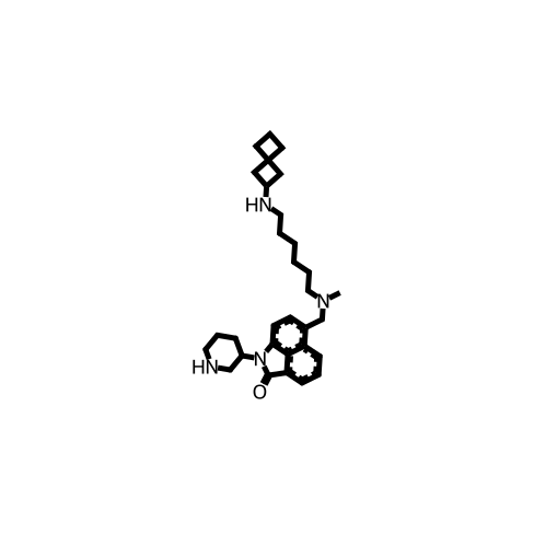 CN(CCCCCCNC1CC2(CCC2)C1)Cc1ccc2c3c(cccc13)C(=O)N2C1CCCNC1